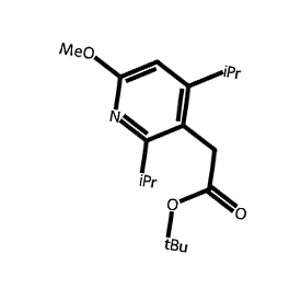 COc1cc(C(C)C)c(CC(=O)OC(C)(C)C)c(C(C)C)n1